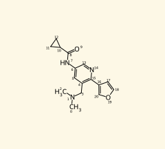 CN(C)Cc1cc(NC(=O)C2CC2)cnc1-c1ccoc1